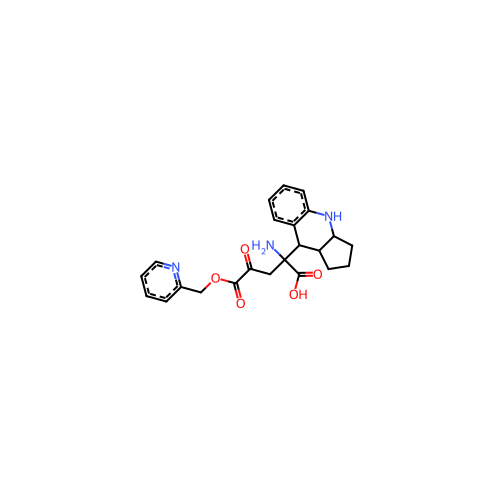 NC(CC(=O)C(=O)OCc1ccccn1)(C(=O)O)C1c2ccccc2NC2CCCC21